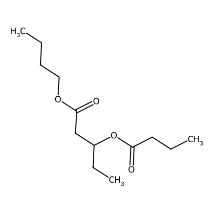 CCCCOC(=O)CC(CC)OC(=O)CCC